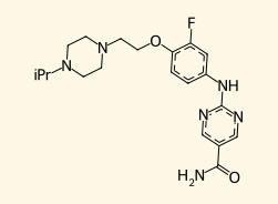 CC(C)N1CCN(CCOc2ccc(Nc3ncc(C(N)=O)cn3)cc2F)CC1